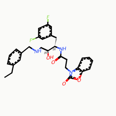 CCc1cccc(CNC[C@H](O)[C@H](Cc2cc(F)cc(F)c2)NC(=O)CCn2c(=O)oc3ccccc32)c1